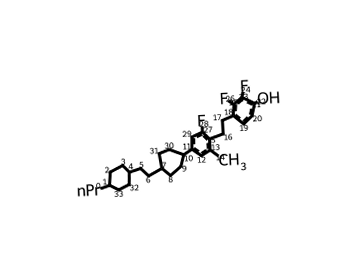 CCCC1CCC(CCC2CCC(c3cc(C)c(CCc4ccc(O)c(F)c4F)c(F)c3)CC2)CC1